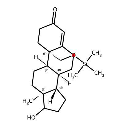 C[C@]12CC[C@@H]3[C@@H](CCC4=CC(=O)CC[C@@]43CO[Si](C)(C)C)[C@@H]1CCC2O